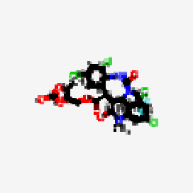 Cc1oc(=O)oc1COC(=O)[C@H]1c2cc(Cl)cc(Cl)c2NC(=O)N2CC(F)(F)C[C@H]2[C@H]1C(=O)N(C)c1cc(Cl)cc(Cl)c1